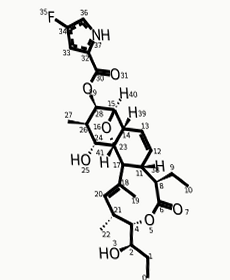 CC[C@@H](O)[C@H]1OC(=O)[C@H](CC)[C@H]2C=C[C@H]3[C@H]4O[C@]2(/C(C)=C/[C@H]1C)[C@@H]3[C@H](O)[C@@H](C)[C@H]4OC(=O)c1cc(F)c[nH]1